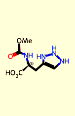 COC(=O)N[C@@H](CC1=CNNN1)C(=O)O